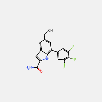 N#CCc1cc(-c2cc(F)c(F)c(F)c2)c2[nH]c(C(N)=O)cc2c1